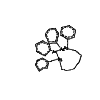 c1ccc([As]2CCCCCC[As](c3ccccc3)[As](c3ccccc3)[As]2c2ccccc2)cc1